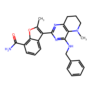 Cc1oc2c(C(N)=O)cccc2c1-c1nc2c(c(NCc3ccccc3)n1)N(C)CCC2